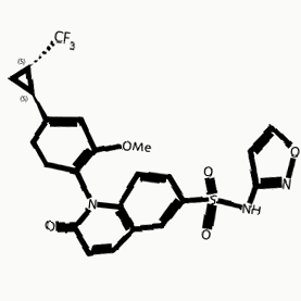 COC1=C(n2c(=O)ccc3cc(S(=O)(=O)Nc4ccon4)ccc32)CCC([C@H]2C[C@@H]2C(F)(F)F)=C1